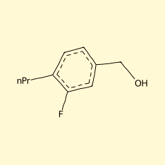 CCCc1ccc(CO)cc1F